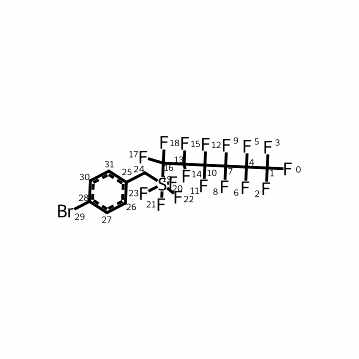 FC(F)(F)C(F)(F)C(F)(F)C(F)(F)C(F)(F)C(F)(F)S(F)(F)(F)(F)Cc1ccc(Br)cc1